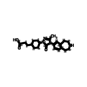 Cc1nn(C2CCC(CCC(=O)O)CC2)c(=O)n1-c1ccc2c(c1)CCNCC2